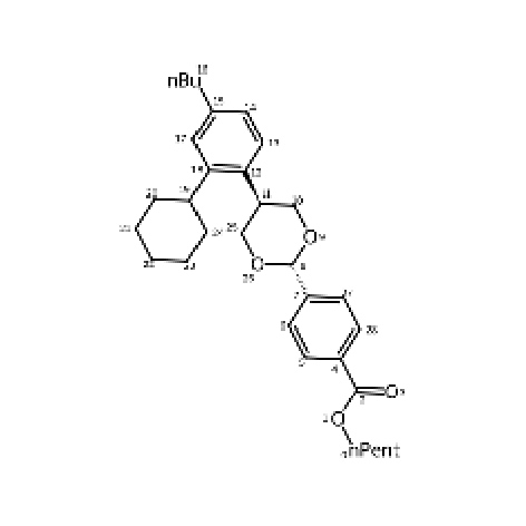 CCCCCOC(=O)c1ccc([C@H]2OC[C@H](c3ccc(CCCC)cc3C3CCCCC3)CO2)cc1